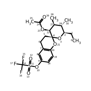 CC[C@H]1O[C@@]2(CCc3cc(OS(=O)(=O)C(F)(F)F)ccc3O2)[C@@H](OC(C)=O)[C@@H](C)[C@@H]1C